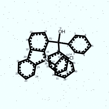 OC(c1ccccc1)(c1ccccc1Cl)c1cccc2c3ccccc3n(-c3ccccc3)c12